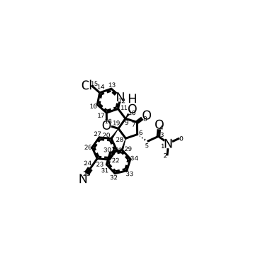 CN(C)C(=O)C[C@H]1C(=O)[C@@]2(O)c3ncc(Cl)cc3O[C@@]2(c2ccc(C#N)cc2)[C@@H]1c1ccccc1